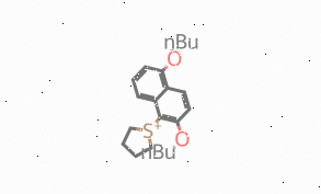 CCCCOc1ccc2c(OCCCC)cccc2c1[S+]1CCCC1